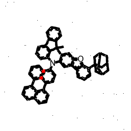 CC1(C)c2ccccc2-c2cccc(N(c3ccc(-c4cccc5cccc(-c6ccccc6)c45)cc3)c3ccc4oc5c(C67CC8CC(CC(C8)C6)C7)cccc5c4c3)c21